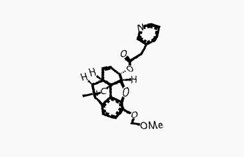 COCOc1ccc2c3c1O[C@H]1[C@@H](OC(=O)Cc4cccnc4)C=C[C@H]4[C@@H](C2)N(C)CC[C@@]341